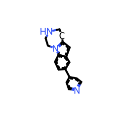 c1cc(-c2ccc3c(c2)cc2n3CCNCC2)ccn1